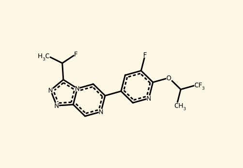 CC(F)c1nnc2cnc(-c3cnc(OC(C)C(F)(F)F)c(F)c3)cn12